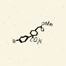 COC(=O)C=C1CCC(C(=O)O)(c2ccc(Br)cc2)CC1